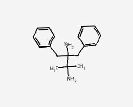 CC(C)(N)C(N)(Cc1ccccc1)Cc1ccccc1